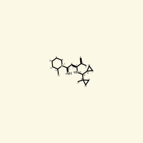 C=C(C)/C(=C/C(=N)N1CCCCC1C)NC(C1CC1)C1(C)CC1